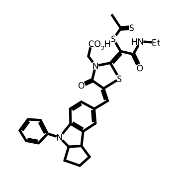 CCNC(=O)/C(SC(C)=S)=c1\s/c(=C/c2ccc3c(c2)C2CCCC2N3c2ccccc2)c(=O)n1CC(=O)O